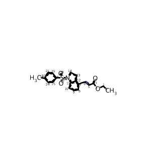 CCOC(=O)/C=C/c1cccc2c1ccn2S(=O)(=O)c1ccc(C)cc1